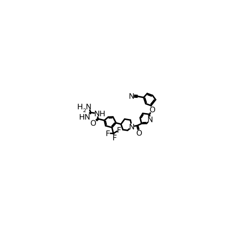 N#Cc1cccc(Oc2ccc(C(=O)N3CCC(c4ccc(C(=O)NC(=N)N)cc4C(F)(F)F)CC3)cn2)c1